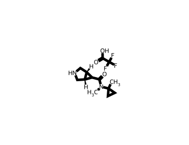 CN(C(=O)C1[C@H]2CNC[C@@H]12)C1(C)CC1.O=C(O)C(F)(F)F